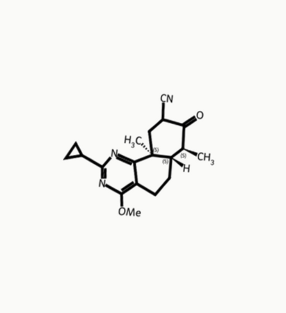 COc1nc(C2CC2)nc2c1CC[C@H]1[C@H](C)C(=O)C(C#N)C[C@]21C